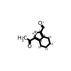 CC(=O)c1sc(C=O)c2c1CCCC2